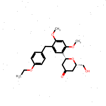 CCOc1ccc(Cc2cc([C@H]3CC(=O)C[C@@H](CO)O3)c(OC)cc2OC)cc1